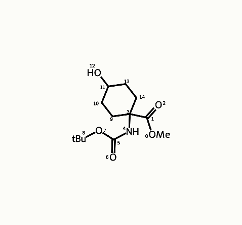 COC(=O)C1(NC(=O)OC(C)(C)C)CCC(O)CC1